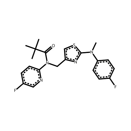 CN(c1ccc(F)cc1)c1nc(CN(C(=O)C(C)(C)C)c2ccc(F)cn2)cs1